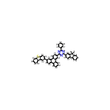 CC1(C)c2ccccc2-c2ccc(-c3nc(-c4ccccc4)nc(-c4ccc5c6cc(-c7ccc8sc9ccccc9c8c7)ccc6c6ccccc6c5c4)n3)cc21